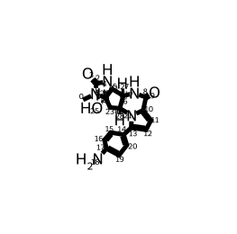 CN1C(=O)N[C@H]2[C@@H]3NC(=O)c4ccc(-c5ccc(N)cc5)n4[C@@H]3C[C@]21O